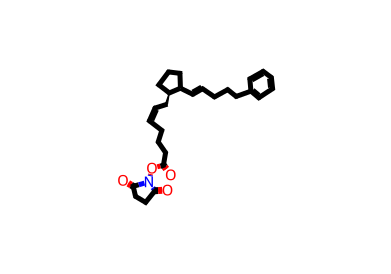 O=C(CCC/C=C\C[C@H]1CCCC1/C=C/CCCc1ccccc1)ON1C(=O)CCC1=O